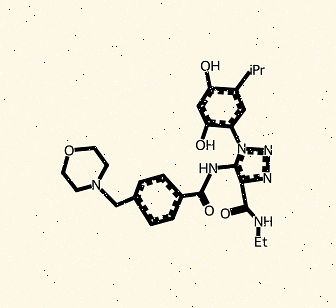 CCNC(=O)c1nnn(-c2cc(C(C)C)c(O)cc2O)c1NC(=O)c1ccc(CN2CCOCC2)cc1